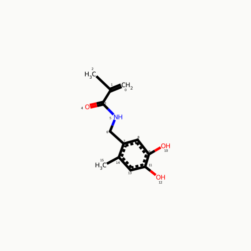 C=C(C)C(=O)NCc1cc(O)c(O)cc1C